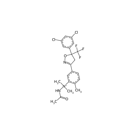 CC(=O)N[N+](C)(C)c1cc(C2=NOC(c3cc(Cl)cc(Cl)c3)(C(F)(F)F)C2)ccc1C